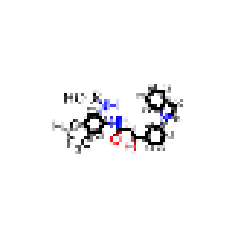 Cc1cc(NC(=O)O)c(NC(=O)CC(=O)c2cccc(-n3ccc4ccccc43)c2)cc1C(F)(F)F